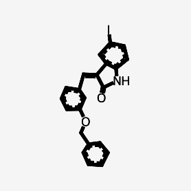 O=C1Nc2ccc(I)cc2C1=Cc1cccc(OCc2ccccc2)c1